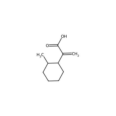 C=C(C(=O)O)C1CCCCC1C